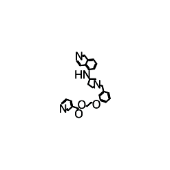 O=C(OCCOc1cccc(CN2CC[C@@H](Nc3cccc4cnccc34)C2)c1)c1cccnc1